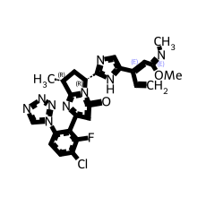 C=C/C(=C\C(=N/C)OC)c1cnc([C@H]2C[C@@H](C)c3nc(-c4c(-n5cnnn5)ccc(Cl)c4F)cc(=O)n32)[nH]1